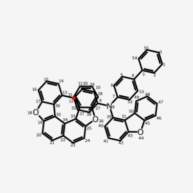 c1ccc(-c2ccc(N(c3ccc(-c4cccc5oc6ccc7ccc8oc9ccccc9c8c7c6c45)cc3)c3cccc4oc5ccccc5c34)cc2)cc1